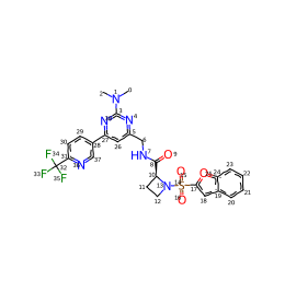 CN(C)c1nc(CNC(=O)[C@@H]2CCN2S(=O)(=O)c2cc3ccccc3o2)cc(-c2ccc(C(F)(F)F)nc2)n1